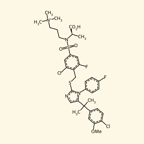 COc1cc(C(C)(C)c2cnc(SCc3c(F)cc(S(=O)(=O)N(CCC[N+](C)(C)C)[C@H](C)C(=O)O)cc3Cl)n2-c2ccc(F)cc2)ccc1Cl